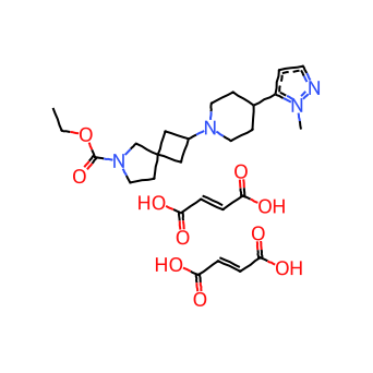 CCOC(=O)N1CCC2(CC(N3CCC(c4ccnn4C)CC3)C2)C1.O=C(O)/C=C/C(=O)O.O=C(O)/C=C/C(=O)O